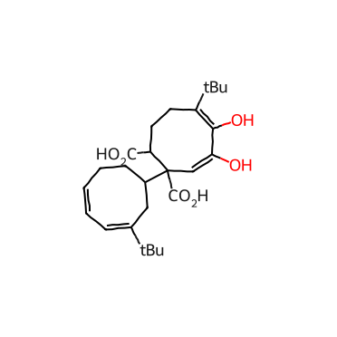 CC(C)(C)/C1=C(O)/C(O)=C\C(C(=O)O)(C2CC/C=C\C=C(\C(C)(C)C)C2)C(C(=O)O)CC1